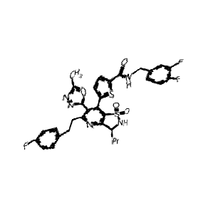 Cc1nnc(-c2c(CCc3ccc(F)cc3)nc3c(c2-c2ccc(C(=O)NCc4ccc(F)c(F)c4)s2)S(=O)(=O)N[C@H]3C(C)C)o1